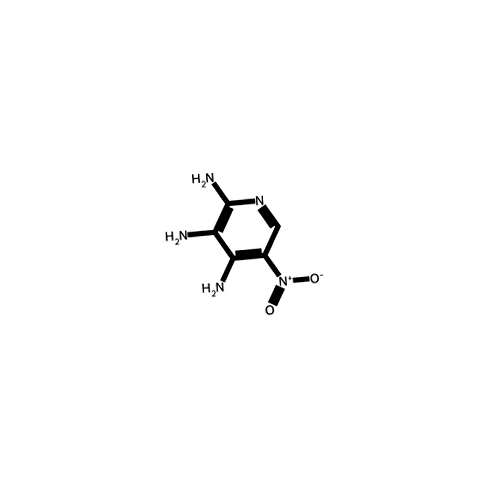 Nc1ncc([N+](=O)[O-])c(N)c1N